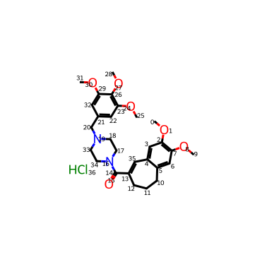 COc1cc2c(cc1OC)CCCC(C(=O)N1CCN(Cc3cc(OC)c(OC)c(OC)c3)CC1)=C2.Cl